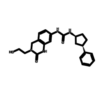 O=C(Nc1ccc2c(c1)NC(=O)N(CCO)C2)N[C@H]1CC[C@H](c2ccccc2)C1